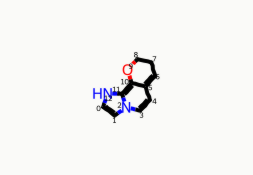 C1=CN2C=CC3=CCCOC3=C2N1